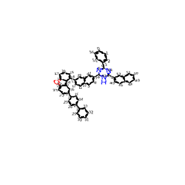 c1ccc(C2=NC(c3ccc4ccc(-c5cccc6oc7ccc(-c8ccc(-c9ccccc9)cc8)cc7c56)cc4c3)NC(c3ccc4ccccc4c3)=N2)cc1